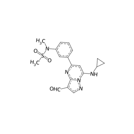 CN(c1cccc(-c2cc(NC3CC3)n3ncc(C=O)c3n2)c1)S(C)(=O)=O